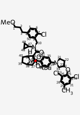 COCCCc1ccc(Cl)c(CN(C(=O)C2=C(c3ccc(N4CC[C@@H](Oc5c(Cl)cc(C)cc5Cl)C4)cc3)CC3CC[C@@H]2N3C(=O)OC(C)(C)C)C2CC2)c1